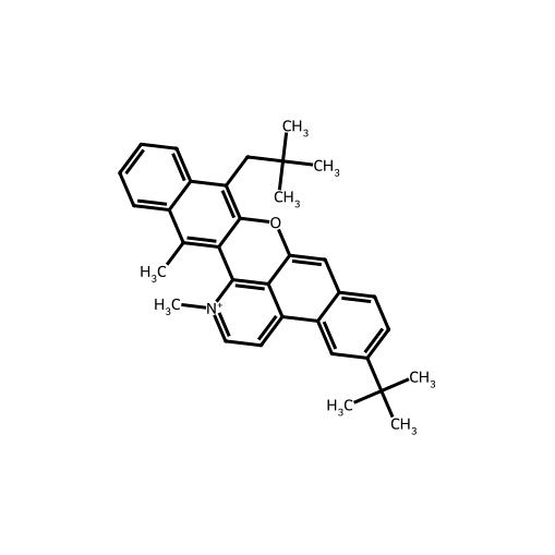 Cc1c2c(c(CC(C)(C)C)c3ccccc13)Oc1cc3ccc(C(C)(C)C)cc3c3cc[n+](C)c-2c13